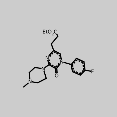 CCOC(=O)CCc1cn(-c2ccc(F)cc2)c(=O)c(N2CCN(C)CC2)n1